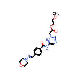 COCCOC(=O)CN1N=NC=C(NC(=O)c2ccc(C=NN3CCOCC3)cc2)N1